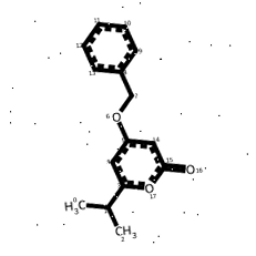 CC(C)c1cc(OCc2ccccc2)cc(=O)o1